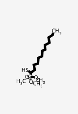 CCCCCCCCCCCCC(S)[Si](OC)(OC)OC